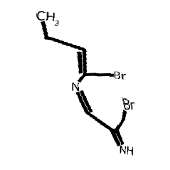 CC/C=C(Br)\N=C/C(=N)Br